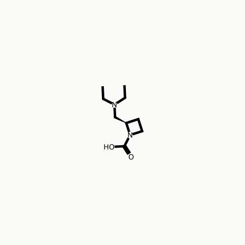 CCN(CC)C[C@H]1CCN1C(=O)O